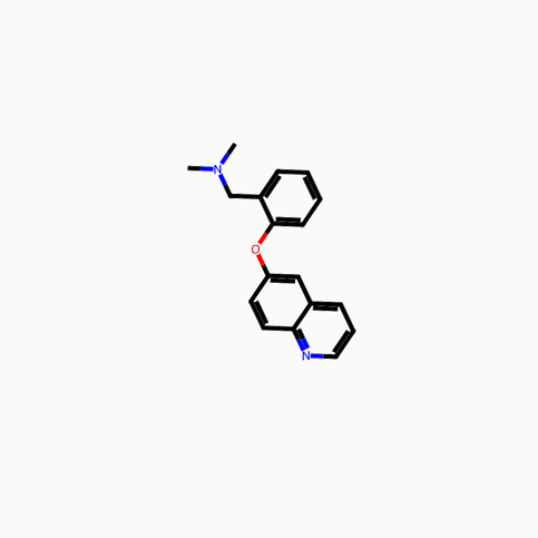 CN(C)Cc1ccccc1Oc1ccc2ncccc2c1